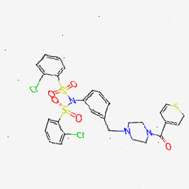 O=C(C1=CCSC=C1)N1CCN(Cc2cccc(N(S(=O)(=O)c3ccccc3Cl)S(=O)(=O)c3ccccc3Cl)c2)CC1